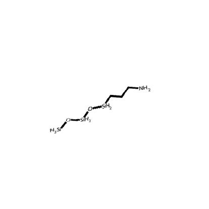 NCCC[SiH2]O[SiH2]O[SiH3]